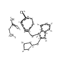 CCC(=O)O.Clc1ccc(Cn2c(CN3CCCC3)nc3ccccc32)cc1